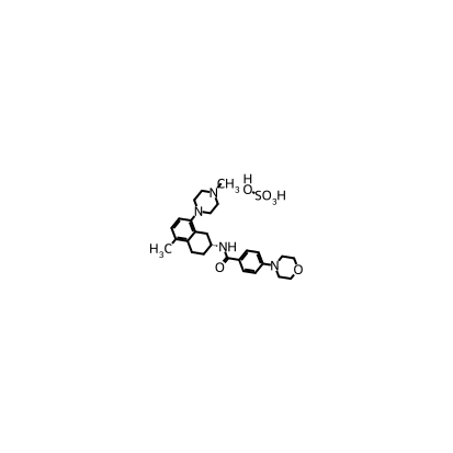 Cc1ccc(N2CCN(C)CC2)c2c1CC[C@@H](NC(=O)c1ccc(N3CCOCC3)cc1)C2.O=S(=O)(O)O